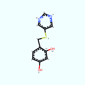 Oc1ccc(CSc2cncnc2)c(O)c1